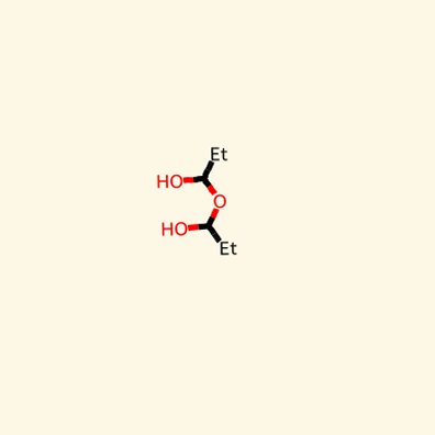 CC[C](O)OC(O)CC